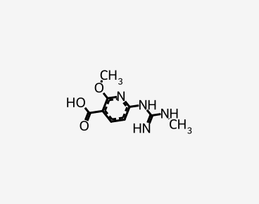 CNC(=N)Nc1ccc(C(=O)O)c(OC)n1